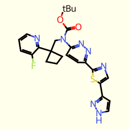 CC(C)(C)OC(=O)N(CC1(c2ncccc2F)CCC1)c1ccc(-c2ncc(-c3cc[nH]n3)s2)nn1